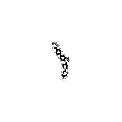 CCc1cnc(N2CCC(n3nnc4cc(-c5ccc(C(=O)NC(C)C)cc5)ccc43)CC2)nc1